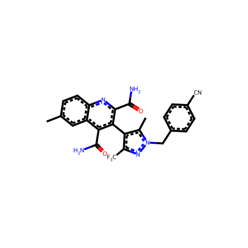 Cc1ccc2nc(C(N)=O)c(-c3c(C(F)(F)F)nn(Cc4ccc(C#N)cc4)c3C)c(C(N)=O)c2c1